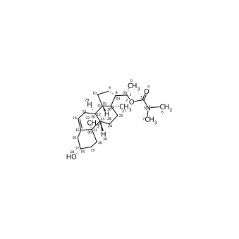 C[C@H](OC(=O)N(C)C)[C@H]1CC[C@H]2[C@@H]3CC=C4C[C@@H](O)CC[C@]4(C)[C@H]3CC[C@]12C